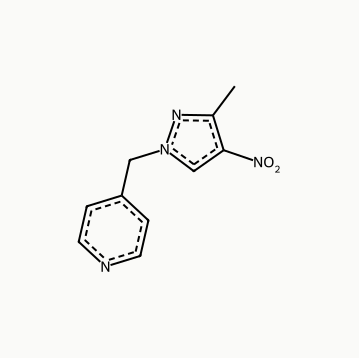 Cc1nn(Cc2ccncc2)cc1[N+](=O)[O-]